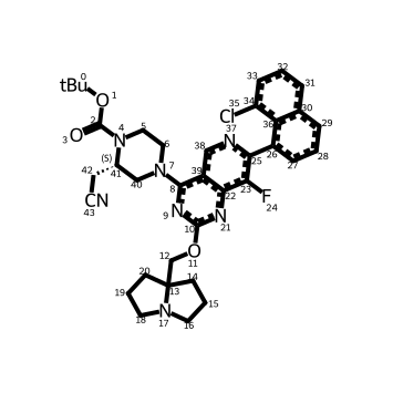 CC(C)(C)OC(=O)N1CCN(c2nc(OCC34CCCN3CCC4)nc3c(F)c(-c4cccc5cccc(Cl)c45)ncc23)C[C@@H]1CC#N